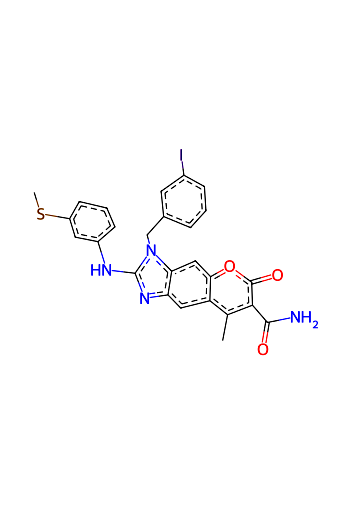 CSc1cccc(Nc2nc3cc4c(C)c(C(N)=O)c(=O)oc4cc3n2Cc2cccc(I)c2)c1